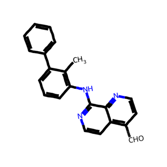 Cc1c(Nc2nccc3c(C=O)ccnc23)cccc1-c1ccccc1